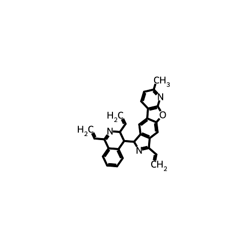 C=CC1=NC(C2c3ccccc3C(C=C)=NC2C=C)c2cc3c(cc21)oc1nc(C)ccc13